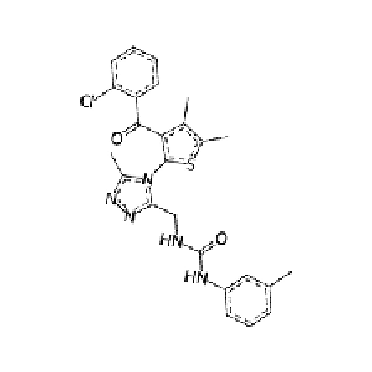 Cc1cccc(NC(=O)NCc2nnc(C)n2-c2sc(C)c(C)c2C(=O)c2ccccc2Cl)c1